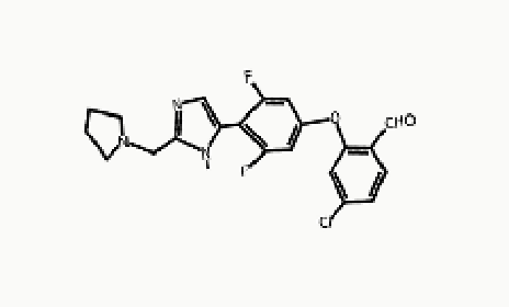 Cn1c(-c2c(F)cc(Oc3cc(Cl)ccc3C=O)cc2F)cnc1CN1CCCC1